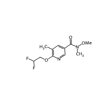 CON(C)C(=O)c1cnc(OCC(F)F)c(C)c1